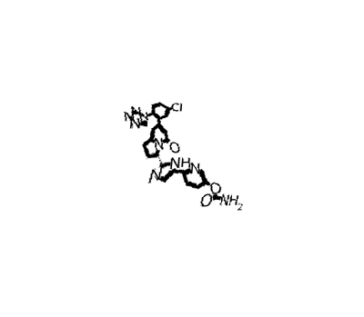 NC(=O)Oc1ccc(-c2cnc([C@@H]3CCc4cc(-c5cc(Cl)ccc5-n5cnnn5)cc(=O)n43)[nH]2)nc1